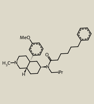 COc1cccc([C@@]23CCN(C)C[C@H]2CC[C@H](N(CC(C)C)C(=O)CCCCCc2ccccc2)C3)c1